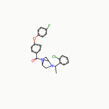 CC(c1ccccc1Cl)N1CC2CC1CN2C(=O)c1ccc(Oc2ccc(F)cc2)cc1